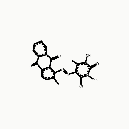 CCCCn1c(O)c(/N=N/c2c(C)ccc3c2C(=O)c2ccccc2C3=O)c(C)c(C#N)c1=O